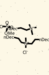 CCCCCCCCCCCC[N+](C)(C)C.CCCCCCCCCCCC[N+](C)(C)CCCCCCCCCCCC.COS(=O)(=O)[O-].[Cl-]